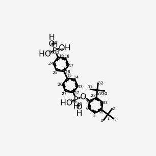 CC(C)(C)c1ccc(O[PH](O)(O)c2ccc(-c3ccc([PH](O)(O)O)cc3)cc2)c(C(C)(C)C)c1